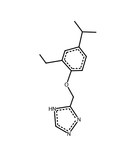 CCc1cc(C(C)C)ccc1OCc1nnc[nH]1